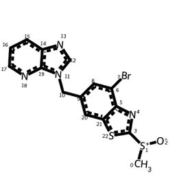 C[S+]([O-])c1nc2c(Br)cc(Cn3cnc4cccnc43)cc2s1